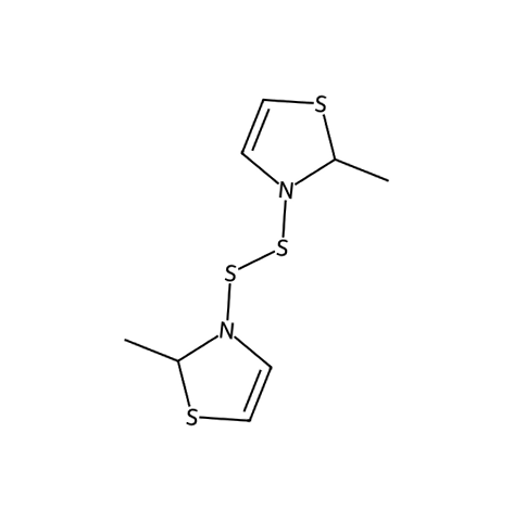 CC1SC=CN1SSN1C=CSC1C